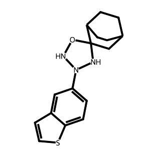 c1cc2cc(N3NOC4(CC5CCC4CC5)N3)ccc2s1